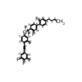 C=CCCc1ccc(-c2ccc(C(F)(F)Oc3ccc(C#Cc4cc(F)c(F)c(F)c4)c(F)c3)c(F)c2)c(F)c1